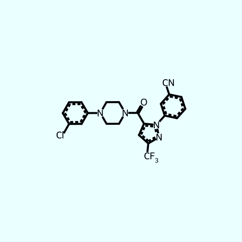 N#Cc1cccc(-n2nc(C(F)(F)F)cc2C(=O)N2CCN(c3cccc(Cl)c3)CC2)c1